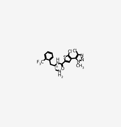 Cn1nnc(Cl)c1-c1cc(C(=O)N[C@H](CN)Cc2ccccc2C(F)(F)F)sc1Cl